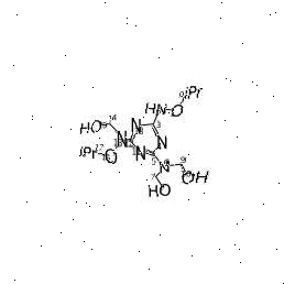 CC(C)ONc1nc(N(CO)CO)nc(N(CO)OC(C)C)n1